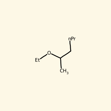 [CH2]CCCC(C)OCC